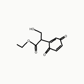 CCOC(=O)C(CO)C1=CC(=O)C=CC1=O